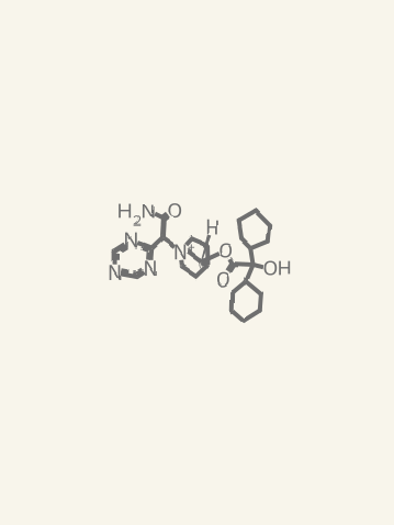 NC(=O)C(c1ncncn1)[N+]12CCC(CC1)[C@@H](OC(=O)C(O)(C1CCCCC1)C1CCCCC1)C2